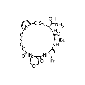 CC[C@H](C)[C@@H]1NC(=O)[C@H](CC(C)C)NC(=O)C2(CCOCC2)NC(=O)CCSCc2cccc(n2)CSC[C@@H](C(N)O)NC1=O